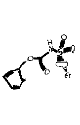 CCOS(=O)(=O)NC(=O)Oc1ccccc1